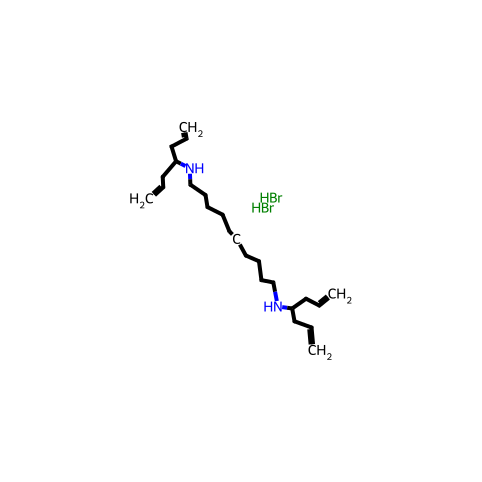 Br.Br.C=CCC(CC=C)NCCCCCCCCCCNC(CC=C)CC=C